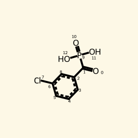 O=C(c1cccc(Cl)c1)P(=O)(O)O